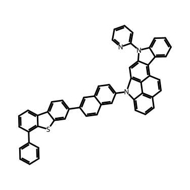 c1ccc(-c2cccc3c2sc2cc(-c4ccc5cc(-n6c7cccc8ccc9c%10c%11ccccc%11n(-c%11ccccn%11)c%10cc6c9c87)ccc5c4)ccc23)cc1